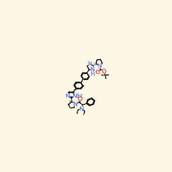 CCN(CC)C(C(=O)N1CCC[C@H]1c1ncc(-c2ccc(-c3ccc(C4CN=C([C@@H]5CCCN5C(=O)OC(C)(C)C)N4)cc3)cc2)[nH]1)c1ccccc1